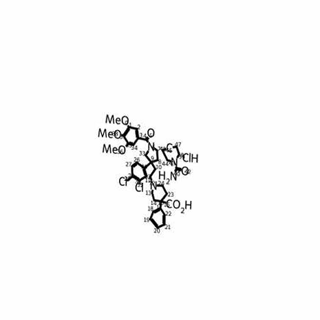 COc1cc(C(=O)N2CCC(CCN3CCC(C(=O)O)(c4ccccc4)CC3)(c3ccc(Cl)c(Cl)c3)C2)cc(OC)c1OC.Cl.NC(=O)N1CCCCC1